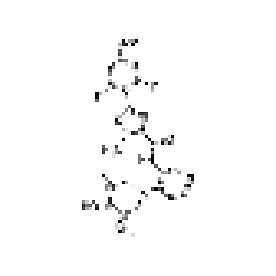 COc1cc(F)c(-c2nc(C(=O)Nc3cnccc3[C@H]3C[C@@H](N)[C@H](O)[C@@H](C)C3)c(N)s2)c(F)c1